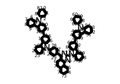 c1ccc(-n2c3ccccc3c3cc(-c4ccc5c(c4)c4ccccc4n5-c4ccc(-c5nc(-n6c7ccccc7c7cc(-c8ccc9c(c8)c8ccccc8n9-c8ccccc8)ccc76)nc6c5ccc5ccccc56)cc4)ccc32)cc1